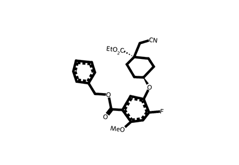 CCOC(=O)[C@]1(CC#N)CC[C@@H](Oc2cc(C(=O)OCc3ccccc3)c(OC)cc2F)CC1